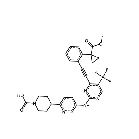 COC(=O)C1(c2ccccc2C#Cc2nc(Nc3ccc(C4CCN(C(=O)O)CC4)nc3)ncc2C(F)(F)F)CC1